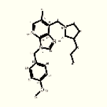 CCCC1CCN(Cc2c(C)cnc3c2ncn3Cc2ccc(OC)cc2)C1